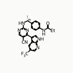 CCC(=O)Nc1ccc([C@@H](C)Nc2ncc(C#N)c(-c3c[nH]c4ncc(C(F)(F)F)cc34)n2)cc1